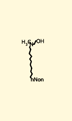 CCCCCCCCCCCCCCCCCCCCN(C)CCO